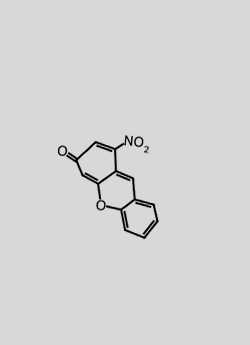 O=c1cc2oc3ccccc3cc-2c([N+](=O)[O-])c1